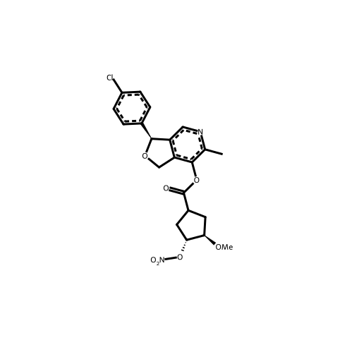 CO[C@@H]1CC(C(=O)Oc2c(C)ncc3c2CO[C@H]3c2ccc(Cl)cc2)C[C@H]1O[N+](=O)[O-]